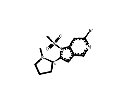 CN1CCC[C@@H]1c1cc2cnc(Br)cc2n1S(C)(=O)=O